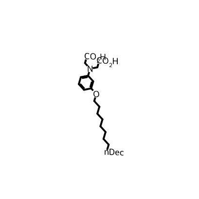 CCCCCCCCCCCCCCCCCCOc1cccc(N(CC(=O)O)CC(=O)O)c1